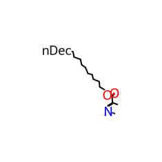 CCCCCCCCCCCCCCCCCCCCCOC(=O)C(C)=CN(C)C